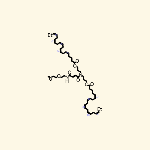 CC/C=C\C/C=C\C/C=C\C/C=C\C/C=C\CCCC(=O)OCCCN(CCCOC(=O)CCC/C=C\C/C=C\C/C=C\C/C=C\C/C=C\CC)C(=O)C=CC(=O)NCCOCCN(C)C